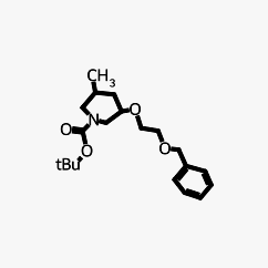 CC1CC(OCCOCc2ccccc2)CN(C(=O)OC(C)(C)C)C1